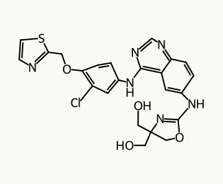 OCC1(CO)COC(Nc2ccc3ncnc(Nc4ccc(OCc5nccs5)c(Cl)c4)c3c2)=N1